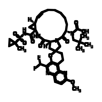 COc1ccc2nc(C(F)F)c3c(c2n1)CC[C@]1(C[C@H]2C(=O)N[C@]4(C(=O)NS(=O)(=O)C5(C)CC5)C[C@H]4/C=C\CCCCC[C@H](N(CC(C)(C)C)C(=O)O)C(=O)N2C1)O3